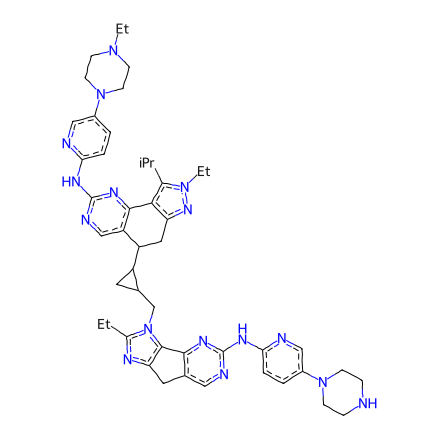 CCc1nc2c(n1CC1CC1C1Cc3nn(CC)c(C(C)C)c3-c3nc(Nc4ccc(N5CCN(CC)CC5)cn4)ncc31)-c1nc(Nc3ccc(N4CCNCC4)cn3)ncc1C2